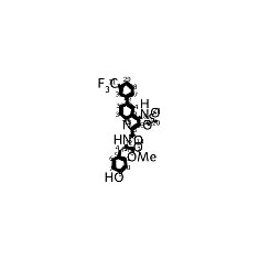 COC(=O)[C@H](Cc1ccc(O)cc1)NC(=O)c1cc(NS(C)(=O)=O)c2cc(-c3cccc(C(F)(F)F)c3)ccc2n1